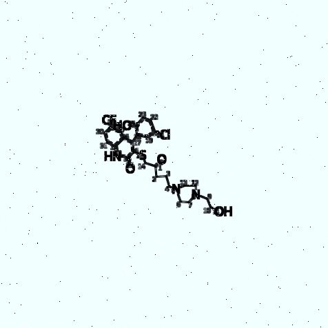 O=C(CCCN1CCN(CCO)CC1)CSc1c(-c2cc(Cl)ccc2O)c2cc(C(F)(F)F)ccc2[nH]c1=O